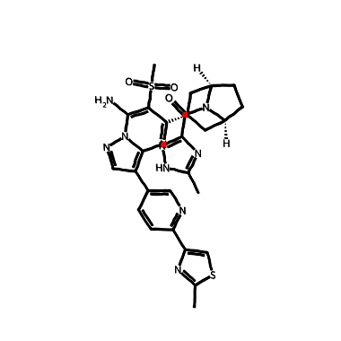 Cc1nc(C(=O)N2[C@@H]3CC[C@H]2C[C@H](c2nc4c(-c5ccc(-c6csc(C)n6)nc5)cnn4c(N)c2S(C)(=O)=O)C3)n[nH]1